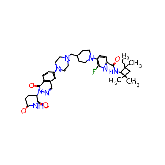 CC1(C)CC(C)(C)C1NC(=O)c1ccc(N2CCC(CN3CCN(c4ccc5c(=O)n(C6CCC(=O)NC6=O)ncc5c4)CC3)CC2)c(F)n1